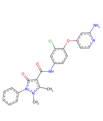 Cc1c(C(=O)Nc2ccc(Oc3ccnc(N)c3)c(Cl)c2)c(=O)n(-c2ccccc2)n1C